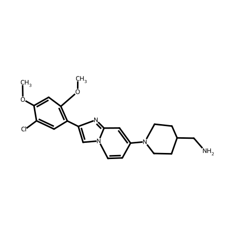 COc1cc(OC)c(-c2cn3ccc(N4CCC(CN)CC4)cc3n2)cc1Cl